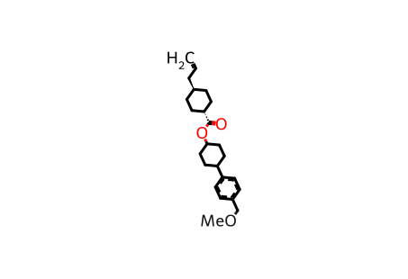 C=CC[C@H]1CC[C@H](C(=O)OC2CCC(c3ccc(COC)cc3)CC2)CC1